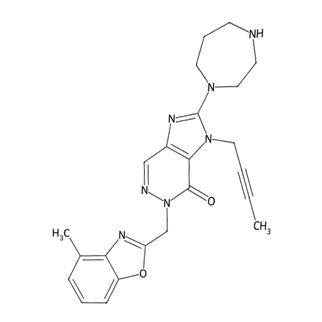 CC#CCn1c(N2CCCNCC2)nc2cnn(Cc3nc4c(C)cccc4o3)c(=O)c21